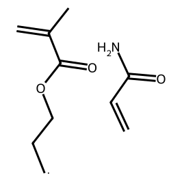 C=CC(N)=O.[CH2]CCOC(=O)C(=C)C